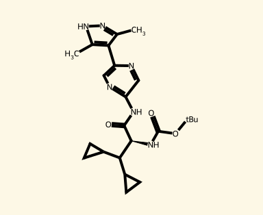 Cc1n[nH]c(C)c1-c1cnc(NC(=O)[C@@H](NC(=O)OC(C)(C)C)C(C2CC2)C2CC2)cn1